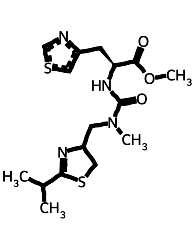 COC(=O)[C@H](Cc1cscn1)NC(=O)N(C)CC1CSC(C(C)C)=N1